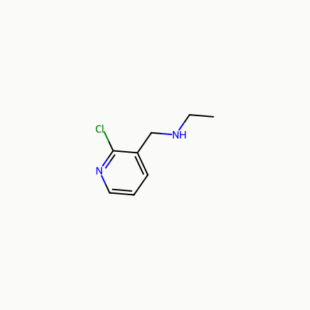 CCNCc1cccnc1Cl